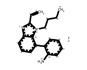 C=Cc1sc2cccc(-c3ccccc3N)c2[n+]1CCCC.[I-]